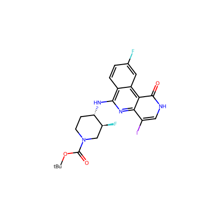 CC(C)(C)OC(=O)N1CC[C@H](Nc2nc3c(I)c[nH]c(=O)c3c3cc(F)ccc23)[C@@H](F)C1